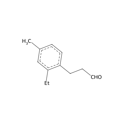 CCc1cc(C)ccc1CCC=O